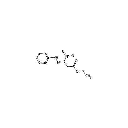 CCOC(=O)CC(=NNc1ccccc1)[N+](=O)[O-]